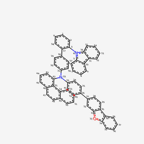 c1ccc(-n2c3ccccc3c3ccccc32)c(-c2ccc(N(c3ccc(-c4ccc5c(c4)oc4ccccc45)cc3)c3cccc4ccc5ccccc5c34)cc2)c1